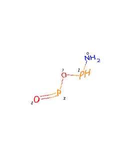 NPOP=O